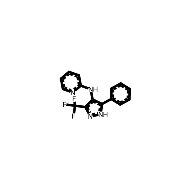 FC(F)(F)c1n[nH]c(-c2ccccc2)c1Nc1ccccn1